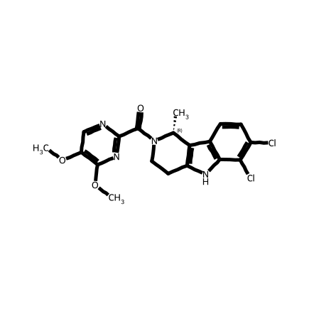 COc1cnc(C(=O)N2CCc3[nH]c4c(Cl)c(Cl)ccc4c3[C@H]2C)nc1OC